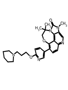 Cn1c(=O)n2c3c4c(c(-c5ccc(OCCCN6CCCCC6)nc5)ccc4ncc31)OCC2(C)C